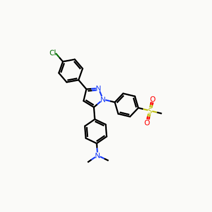 CN(C)c1ccc(-c2cc(-c3ccc(Cl)cc3)nn2-c2ccc(S(C)(=O)=O)cc2)cc1